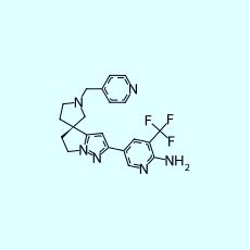 Nc1ncc(-c2cc3n(n2)CC[C@]32CCN(Cc3ccncc3)C2)cc1C(F)(F)F